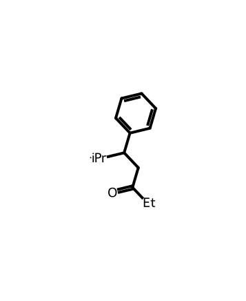 CCC(=O)CC([C](C)C)c1ccccc1